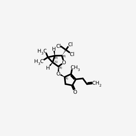 C=CCC1=C(C)[C@H](O[C@@H]2O[C@@H](C(Cl)(Cl)Cl)[C@@H]3[C@H]2C3(C)C)CC1=O